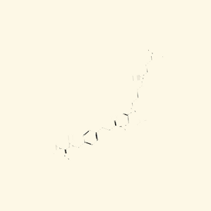 N=C(N)NCc1ccc(CCC(=O)N[C@@H](CO)C(=O)NCCCCNCCCN)cc1